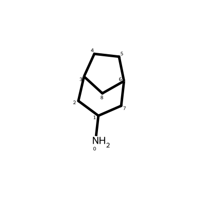 NC1CC2CCC(C1)C2